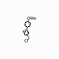 COc1ccc(-n2cc(CCl)cn2)cc1